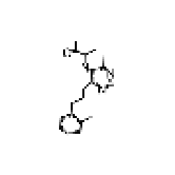 CC(=O)/C(C)=N/c1c(C)ncnc1CCCc1ccccc1C